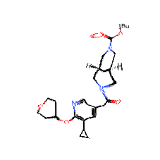 CC(C)(C)OC(=O)N1C[C@H]2CN(C(=O)c3cnc(OC4CCOCC4)c(C4CC4)c3)C[C@@H]2C1